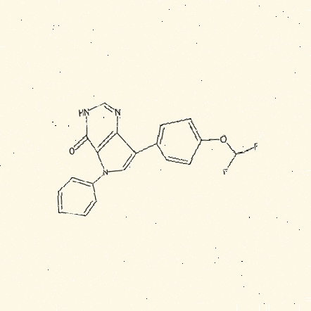 O=c1[nH]cnc2c(-c3ccc(OC(F)F)cc3)cn(-c3ccccc3)c12